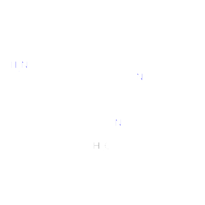 CN(C/C=C/CN)[C@H]1CCCc2cccnc21